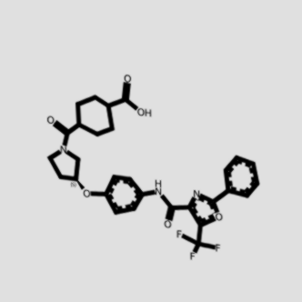 O=C(Nc1ccc(O[C@H]2CCN(C(=O)C3CCC(C(=O)O)CC3)C2)cc1)c1nc(-c2ccccc2)oc1C(F)(F)F